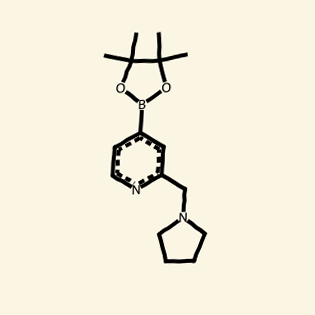 CC1(C)OB(c2ccnc(CN3CCCC3)c2)OC1(C)C